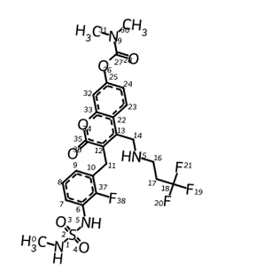 CNS(=O)(=O)Nc1cccc(Cc2c(CNCCC(F)(F)F)c3ccc(OC(=O)N(C)C)cc3oc2=O)c1F